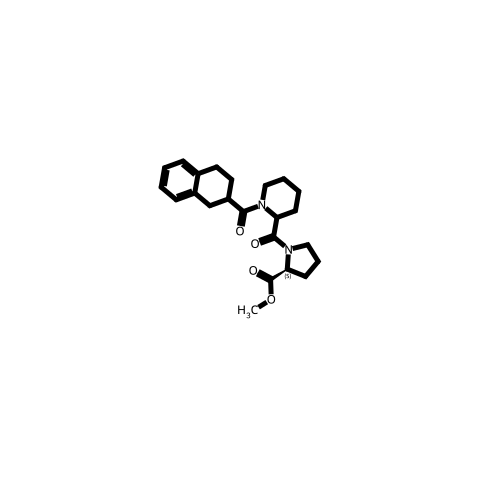 COC(=O)[C@@H]1CCCN1C(=O)C1CCCCN1C(=O)C1CCc2ccccc2C1